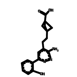 Nc1nnc(-c2ccccc2O)cc1CCC12CC(C(=O)O)(C1)C2